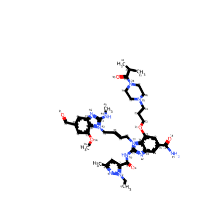 CCn1nc(C)cc1C(=O)Nc1nc2cc(C(N)=O)cc(OCCCN3CCN(C(=O)C(C)C)CC3)c2n1C/C=C/Cn1c(NC)nc2cc(C=O)cc(OC)c21